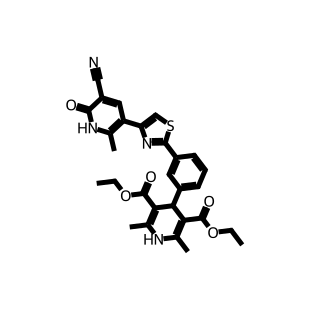 CCOC(=O)C1=C(C)NC(C)=C(C(=O)OCC)C1c1cccc(-c2nc(-c3cc(C#N)c(=O)[nH]c3C)cs2)c1